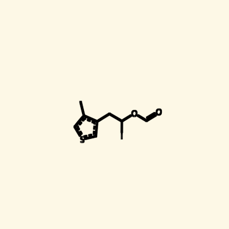 Cc1cscc1CC(I)OC=O